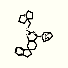 c1ccc2c(c1)CCC21CCc2c(nc(OCC34CCCN3CCC4)nc2N2CC3CC(C2)N3)C1